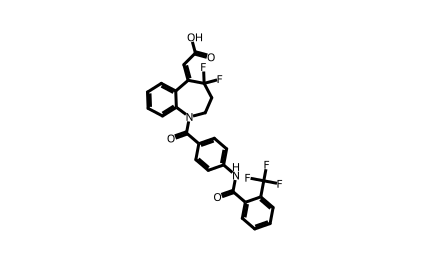 O=C(O)/C=C1/c2ccccc2N(C(=O)c2ccc(NC(=O)c3ccccc3C(F)(F)F)cc2)CCC1(F)F